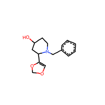 OC1CCN(Cc2ccccc2)C(C2=COCO2)C1